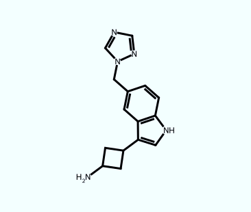 NC1CC(c2c[nH]c3ccc(Cn4cncn4)cc23)C1